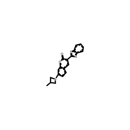 CC1CN(c2ccc3cc(-c4nc5ccccc5s4)c(=O)oc3c2)C1